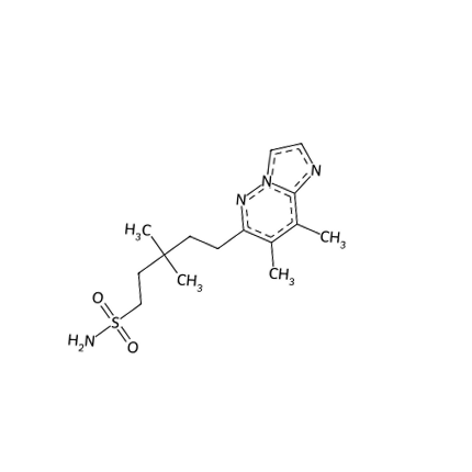 Cc1c(CCC(C)(C)CCS(N)(=O)=O)nn2ccnc2c1C